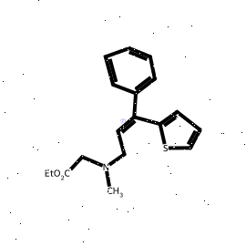 CCOC(=O)CN(C)C/C=C(/c1ccccc1)c1cccs1